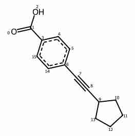 O=C(O)c1ccc(C#CC2CCCC2)cc1